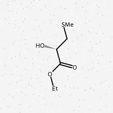 CCOC(=O)[C@H](O)CSC